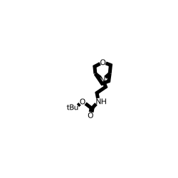 CC(C)(C)OC(=O)NCCN1C2CCC1COC2